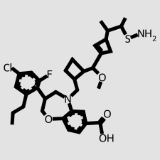 CCCc1cc(Cl)cc(F)c1C1COc2ccc(C(=O)O)cc2N(CC2CCC2C(OC)C2=CC(C(C)C(C)SN)C2)C1